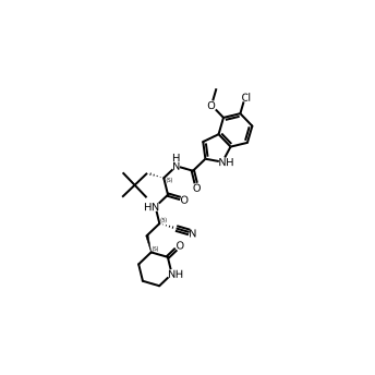 COc1c(Cl)ccc2[nH]c(C(=O)N[C@@H](CC(C)(C)C)C(=O)N[C@H](C#N)C[C@@H]3CCCNC3=O)cc12